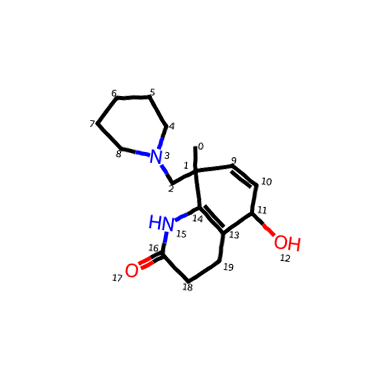 CC1(CN2CCCCC2)C=CC(O)C2=C1NC(=O)CC2